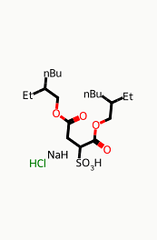 CCCCC(CC)COC(=O)CC(C(=O)OCC(CC)CCCC)S(=O)(=O)O.Cl.[NaH]